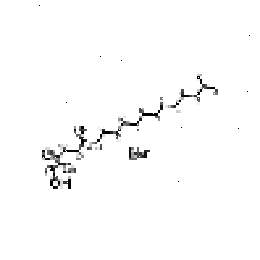 CC(C)CCCCCCCCCCCC(=O)CCS(=O)(=O)OO.[Na]